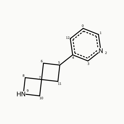 c1cncc(C2CC3(CNC3)C2)c1